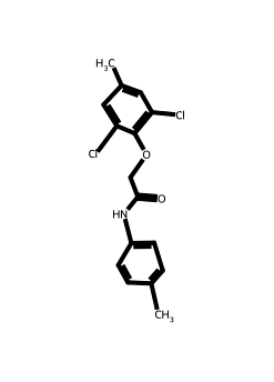 Cc1ccc(NC(=O)COc2c(Cl)cc(C)cc2Cl)cc1